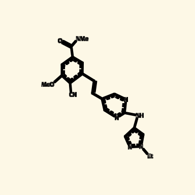 CCn1cc(Nc2ncc(C=Cc3cc(C(=O)NC)cc(OC)c3C#N)cn2)cn1